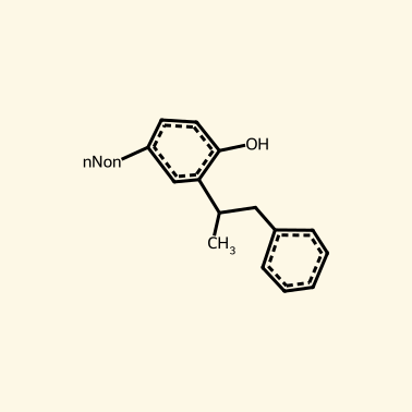 CCCCCCCCCc1ccc(O)c(C(C)Cc2ccccc2)c1